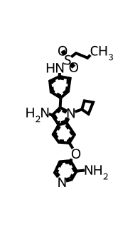 CCCS(=O)(=O)Nc1ccc(-c2c(N)c3ccc(Oc4ccncc4N)cc3n2C2CCC2)cc1